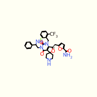 NC(=O)c1ccc(C[C@H]2OC3(CCNCC3)c3c2n(Cc2c(F)cccc2C(F)(F)F)c(=O)n(CC(N)c2ccccc2)c3=O)o1